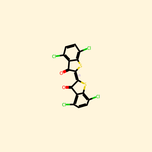 O=C1/C(=C2/Sc3c(Cl)ccc(Cl)c3C2=O)Sc2c(Cl)ccc(Cl)c21